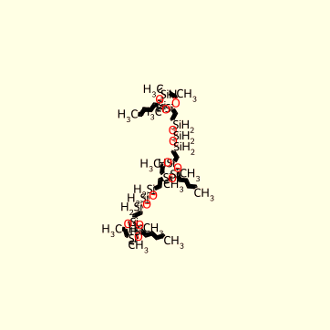 CCCCC[Si]1(C)O[SiH](C)CC(C)O[SiH](CC[SiH2]O[SiH2]O[SiH2]CC[SiH]2OC(C)C[Si](C)(CC[SiH2]O[SiH2]O[SiH2]CC[SiH]3OC(C)C[SiH](C)O[Si](C)(CCCCC)O3)O[Si](C)(CCCCC)O2)O1